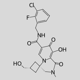 CN1C[C@]2(C[C@@H](CO)C2)n2cc(C(=O)NCc3cccc(Cl)c3F)c(=O)c(O)c2C1=O